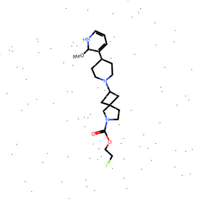 COC1NC=CC=C1C1CCN(C2CC3(CCN(C(=O)OCCF)C3)C2)CC1